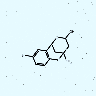 CC12CC(O)OC(C1)c1cc(Br)ccc1O2